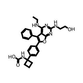 CCNc1nc(NCCO)nc2oc(-c3ccc(C4(NC(=O)O)CCC4)cc3)c(-c3ccccc3)c12